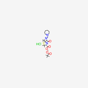 CC(C)(C)C(=O)OCOC(=O)[C@@H]1N2C(=O)[C@@H](N=CN3CCCCCC3)[C@H]2SC1(C)C.Cl